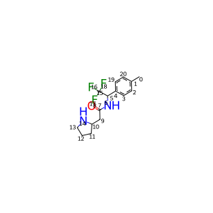 Cc1ccc(C(NC(=O)CC2CCCN2)C(F)(F)F)cc1